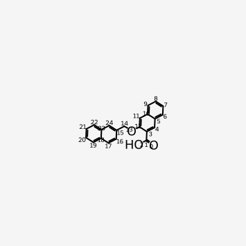 O=C(O)c1cc2ccccc2cc1OCc1ccc2ccccc2c1